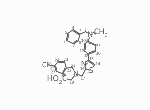 CN(Cc1ccccc1)c1ccc(-c2csc(CN(CC(=O)O)Cc3ccc(Cl)cc3)n2)cc1